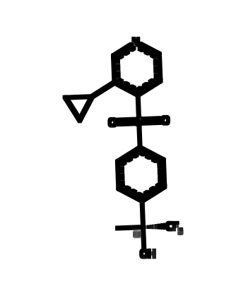 C[C@](O)(c1ccc(S(=O)(=O)c2ccncc2C2CC2)cc1)C(F)(F)F